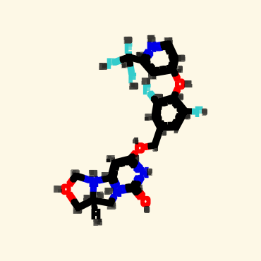 O=c1nc(OCc2cc(F)c(Oc3ccnc(C(F)(F)F)c3)c(F)c2)cc2n1C[C@@H]1COCN21